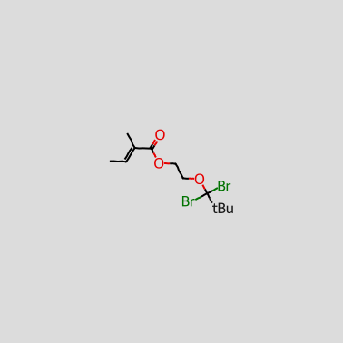 CC=C(C)C(=O)OCCOC(Br)(Br)C(C)(C)C